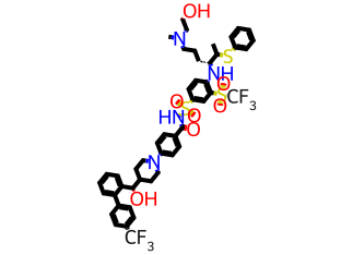 CC(Sc1ccccc1)[C@@H](CCCN(C)CCO)Nc1ccc(S(=O)(=O)NC(=O)c2ccc(N3CCC([C@@H](O)c4ccccc4-c4ccc(C(F)(F)F)cc4)CC3)cc2)cc1S(=O)(=O)C(F)(F)F